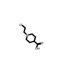 O=C(O)C1CCN(CCCl)CC1